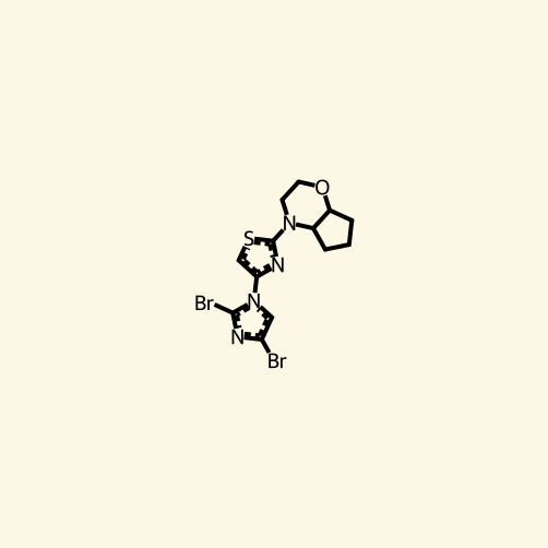 Brc1cn(-c2csc(N3CCOC4CCCC43)n2)c(Br)n1